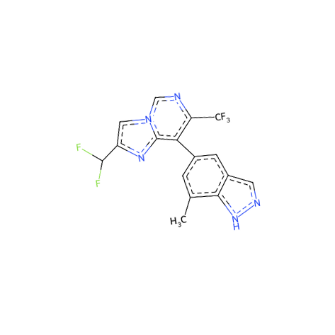 Cc1cc(-c2c(C(F)(F)F)ncn3cc(C(F)F)nc23)cc2cn[nH]c12